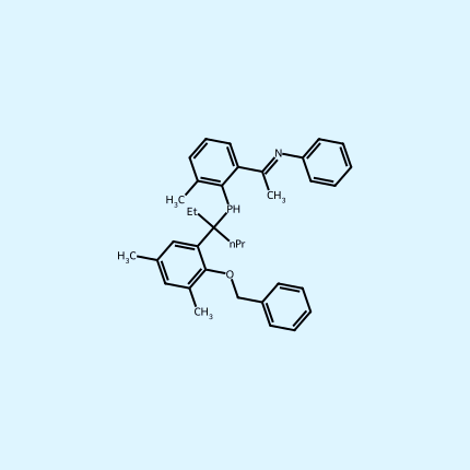 CCCC(CC)(Pc1c(C)cccc1/C(C)=N/c1ccccc1)c1cc(C)cc(C)c1OCc1ccccc1